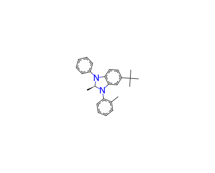 Cc1ccccc1N1c2cc(C(C)(C)C)ccc2N(c2ccccc2)[C@@H]1C